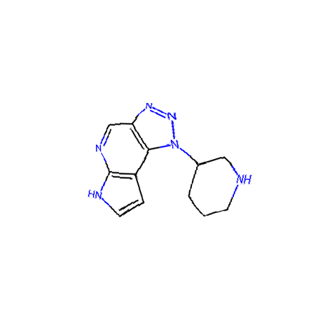 c1cc2c(ncc3nnn(C4CCCNC4)c32)[nH]1